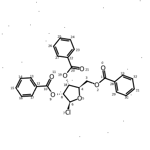 O=C(OC[C@H]1O[C@@H](Cl)[C@H](OC(=O)c2ccccc2)[C@@H]1OC(=O)c1ccccc1)c1ccccc1